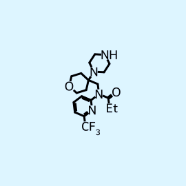 CCC(=O)N(CC1(N2CCNCC2)CCOCC1)c1cccc(C(F)(F)F)n1